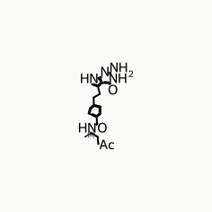 CC(=O)CC[C@@H](C)NC(=O)c1ccc(CCc2c[nH]c3nc(N)[nH]c(=O)c23)cc1